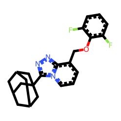 Fc1cccc(F)c1OCc1cccn2c(C34CC5CC(CC(C5)C3)C4)nnc12